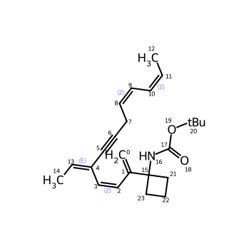 C=C(/C=C\C(C#CC/C=C\C=C/C)=C/C)C1(NC(=O)OC(C)(C)C)CCC1